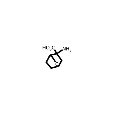 NC1(C(=O)O)CC2CCC1CC2